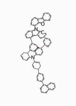 C1=CCC(c2cccc(-c3cccc4c3c3ccccc3n4-c3cccc4c3oc3ccccc34)c2)C(N(C2=CCC(c3ccc(-c4cccc5ccccc45)cc3)C=C2)c2ccc(-c3ccccc3)cc2)=C1